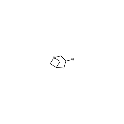 [2H]C1CC2CN(C1)C2